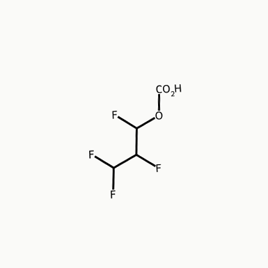 O=C(O)OC(F)C(F)C(F)F